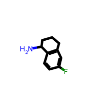 NC1CCCc2cc(F)ccc21